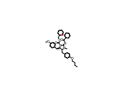 CCCCOc1ccc(CC2/C(=C/c3ccc(OC)cc3)N(C(=O)OCc3ccccc3)/C(=N\C(=O)c3ccccc3F)N2C)cc1